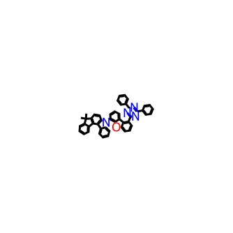 CC1(C)c2ccccc2-c2c1ccc1c2c2ccccc2n1-c1cccc2c1oc1cccc(-c3nc(-c4ccccc4)nc(-c4ccccc4)n3)c12